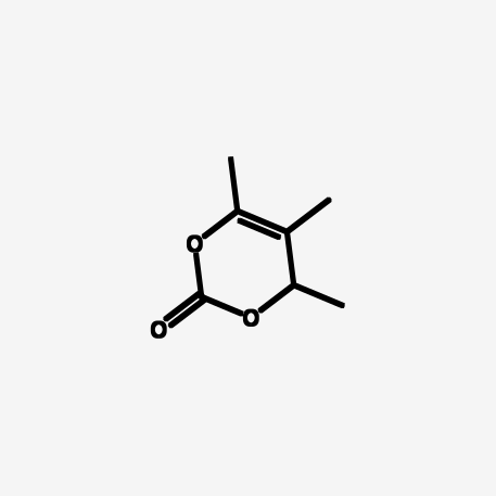 CC1=C(C)C(C)OC(=O)O1